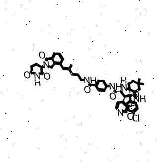 C/C(=C\c1cccc2c1CN(C1CCC(=O)NC1=O)C2=O)CCCNC(=O)c1ccc(NC(=O)[C@@H]2NC3(CCC(C)(C)CC3)[C@@]3(C(=O)Nc4cc(Cl)ccc43)[C@H]2c2ccnc(Cl)c2F)cc1